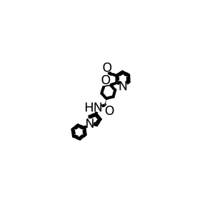 O=C1O[C@]2(CC[C@@H](C(=O)Nc3ccn(-c4ccccc4)c3)CC2)c2ncccc21